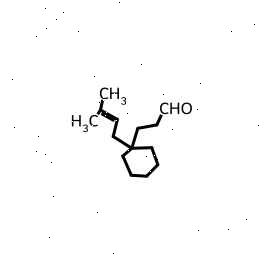 CC(C)=CCC1(CCC=O)CCCCC1